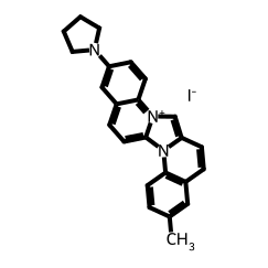 Cc1ccc2c(ccc3c[n+]4c5ccc(N6CCCC6)cc5ccc4n32)c1.[I-]